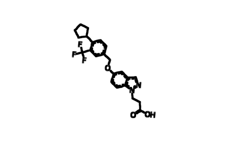 O=C(O)CCn1ncc2cc(OCc3ccc(C4CCCC4)c(C(F)(F)F)c3)ccc21